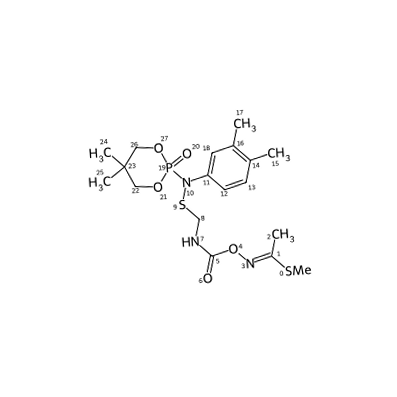 CS/C(C)=N/OC(=O)NCSN(c1ccc(C)c(C)c1)P1(=O)OCC(C)(C)CO1